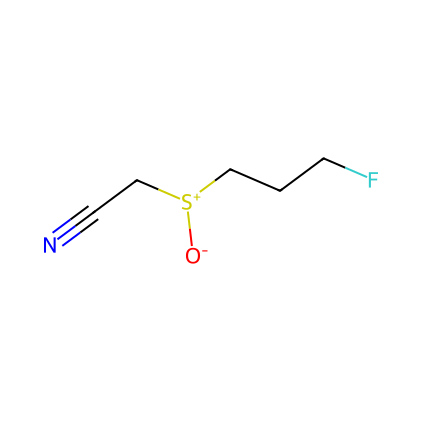 N#CC[S+]([O-])CCCF